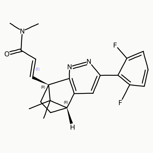 CN(C)C(=O)/C=C/[C@@]12CC[C@@H](c3cc(-c4c(F)cccc4F)nnc31)C2(C)C